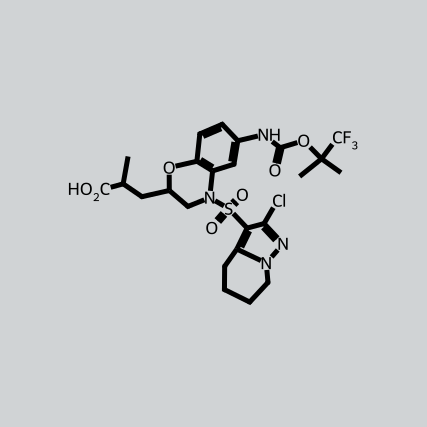 CC(CC1CN(S(=O)(=O)c2c(Cl)nn3c2CCCC3)c2cc(NC(=O)OC(C)(C)C(F)(F)F)ccc2O1)C(=O)O